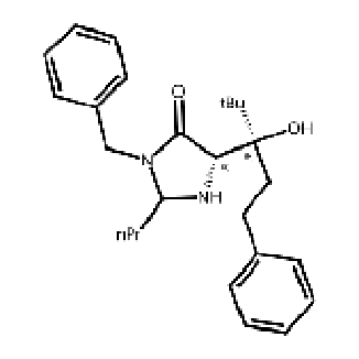 CCCC1N[C@@H]([C@@](O)(CCc2ccccc2)C(C)(C)C)C(=O)N1Cc1ccccc1